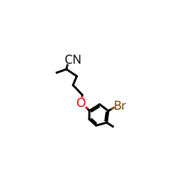 Cc1ccc(OCCCC(C)C#N)cc1Br